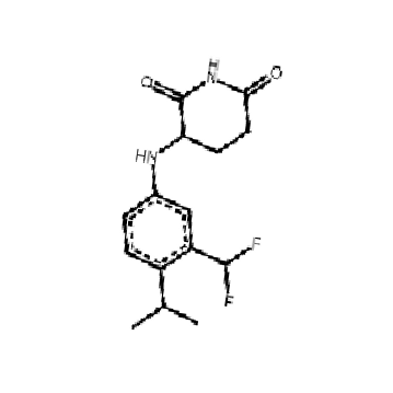 CC(C)c1ccc(NC2CCC(=O)NC2=O)cc1C(F)F